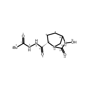 CCC(C)C(=O)NNC(=O)[C@@H]1CCC2CN1C(=O)N2O